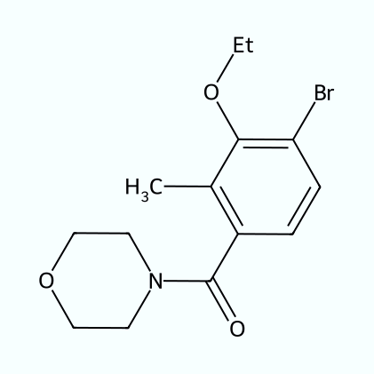 CCOc1c(Br)ccc(C(=O)N2CCOCC2)c1C